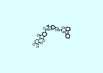 O=C(Cn1c2ccccc2c2cccnc21)NCc1ccc(C2(NC(=O)c3ccc4c(c3)C(=O)N(C3CCC(=O)NC3=O)C4=O)CC2)cc1